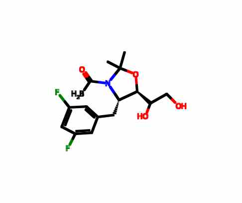 BC(=O)N1[C@@H](Cc2cc(F)cc(F)c2)[C@H](C(O)CO)OC1(C)C